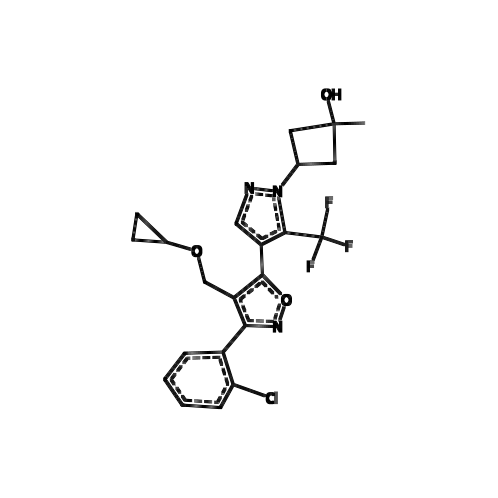 CC1(O)CC(n2ncc(-c3onc(-c4ccccc4Cl)c3COC3CC3)c2C(F)(F)F)C1